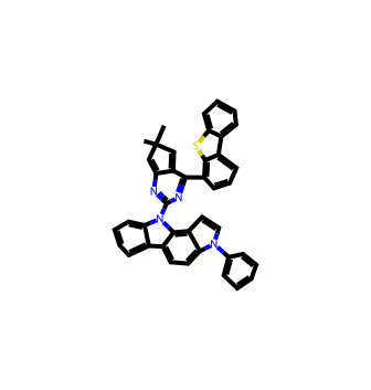 CC1(C)C=c2nc(-n3c4ccccc4c4ccc5c(ccn5-c5ccccc5)c43)nc(-c3cccc4c3sc3ccccc34)c2=C1